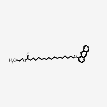 CCCCOC(=O)CCCCCCCCCCCCCCCCCOc1cccc2cc3ccccc3cc12